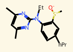 CCCc1ccc(N(CC)c2nc(C)cc(C)n2)c([S+](C)[O-])c1